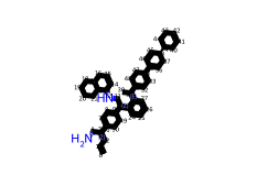 C=C/C=C(\CN)C1=CC=C(/C(CNC2C=CCC3CCCCC32)=c2\cccc\c2=C(\C)C2=CC=C(C3=CCC([C@@H]4CC=CCC4)C=C3)CC2)CC1